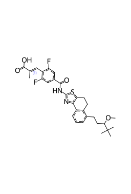 COC(CCc1cccc2c1CCc1sc(NC(=O)c3cc(F)c(/C=C(\C)C(=O)O)c(F)c3)nc1-2)C(C)(C)C